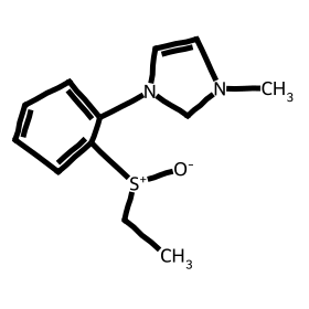 CC[S+]([O-])c1ccccc1N1C=CN(C)C1